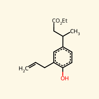 C=CCc1cc(C(C)CC(=O)OCC)ccc1O